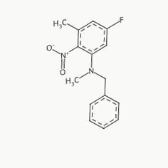 Cc1cc(F)cc(N(C)Cc2ccccc2)c1[N+](=O)[O-]